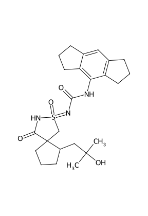 CC(C)(O)CC1CCCC12CS(=O)(=NC(=O)Nc1c3c(cc4c1CCC4)CCC3)NC2=O